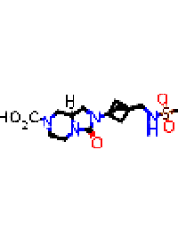 CS(=O)(=O)NCC12CC(N3C[C@@H]4CN(C(=O)O)CCN4C3=O)(C1)C2